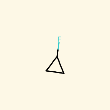 F[C]1CC1